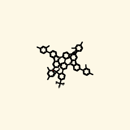 Cc1ccc(-c2ccc3c(c2)c2cc(-c4ccc(C)cc4C)ccc2n3-c2ccc(C#N)cc2-c2ccc(-c3ccc(C(F)(F)F)cc3C(F)(F)F)cc2-n2c3ccc(-c4ccc(C)cc4C)cc3c3cc(-c4ccc(C)cc4C)ccc32)c(C)c1